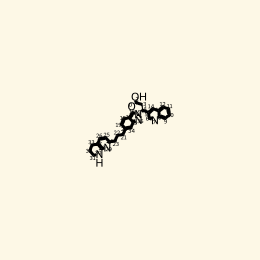 O=C(O)C[C@@H](c1cnc2ccccc2c1)n1cc2ccc(CCCc3ccc4c(n3)NCCC4)cc2n1